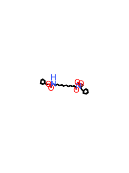 O=C(NCCCCCCCCCCC(=O)N1C(=O)OCC1Cc1ccccc1)OCc1ccccc1